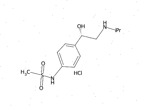 CC(C)NC[C@@H](O)c1ccc(NS(C)(=O)=O)cc1.Cl